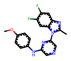 COc1ccc(Nc2cncc(-n3c(C)nc4cc(F)c(F)cc43)n2)cc1